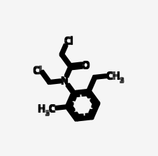 CCc1cccc(C)c1N(CCl)C(=O)CCl